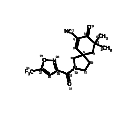 CC1(C)CC2(C=C(C#N)C1=O)CCN(C(=O)c1cc(C(F)(F)F)on1)C2